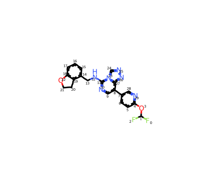 FC(F)Oc1ccc(-c2cnc(NCc3cccc4c3CCO4)n3cnnc23)cn1